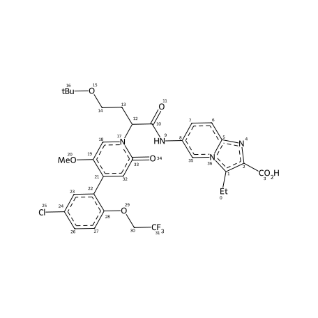 CCc1c(C(=O)O)nc2ccc(NC(=O)C(CCOC(C)(C)C)n3cc(OC)c(-c4cc(Cl)ccc4OCC(F)(F)F)cc3=O)cn12